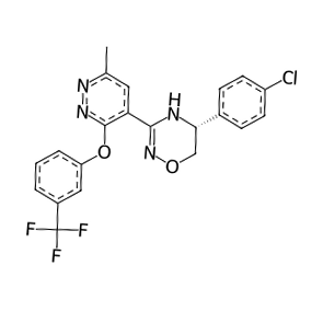 Cc1cc(C2=NOC[C@@H](c3ccc(Cl)cc3)N2)c(Oc2cccc(C(F)(F)F)c2)nn1